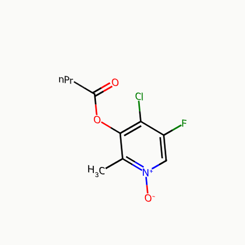 CCCC(=O)Oc1c(Cl)c(F)c[n+]([O-])c1C